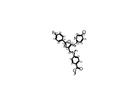 COC(=O)c1ccc(N(C)Cc2nc(-c3ccc(F)cc3)oc2Sc2ccc(Cl)cn2)cc1